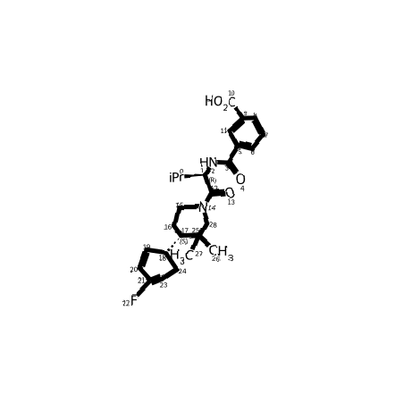 CC(C)[C@@H](NC(=O)c1cccc(C(=O)O)c1)C(=O)N1CC[C@@H](C2C=CC(F)=CC2)C(C)(C)C1